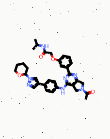 CC(=O)N1Cc2nc(-c3cccc(OCC(=O)NC(C)C)c3)nc(Nc3ccc(-c4cnn(C5CCCCO5)c4)cc3)c2C1